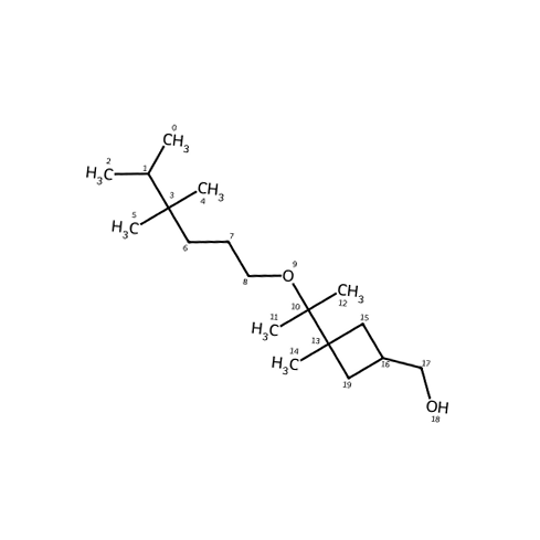 CC(C)C(C)(C)CCCOC(C)(C)C1(C)CC(CO)C1